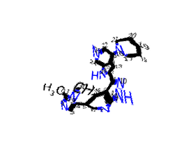 Cc1ncc(-c2cnc3[nH]nc(-c4cc5c(N6CCCCC6)cncc5[nH]4)c3c2)n1C